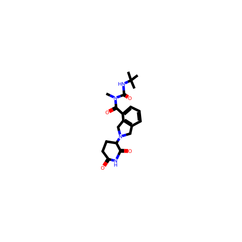 CN(C(=O)NC(C)(C)C)C(=O)c1cccc2c1CN(C1CCC(=O)NC1=O)C2